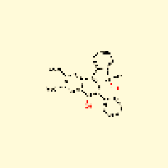 CCC1(O)c2ccccc2-c2c1c(-c1ccccc1)c(O)c1cc(OC)c(OC)cc21